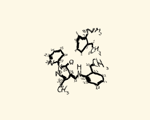 CCc1ccccc1N.CCc1ccccc1N/C=C1\C(=O)N(c2ccccn2)N=C1C